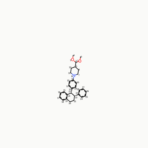 COC(OC)C1CCN(c2ccc([C@@H]3c4ccccc4CC[C@@H]3c3ccccc3)cc2)CC1